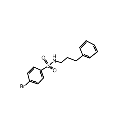 O=S(=O)(NCCCc1ccccc1)c1ccc(Br)cc1